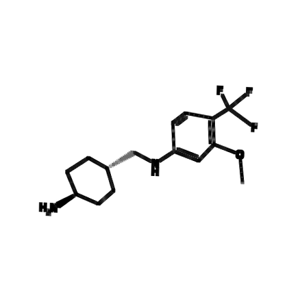 COc1cc(NC[C@H]2CC[C@H](N)CC2)ccc1C(F)(F)F